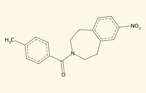 Cc1ccc(C(=O)N2CCc3ccc([N+](=O)[O-])cc3CC2)cc1